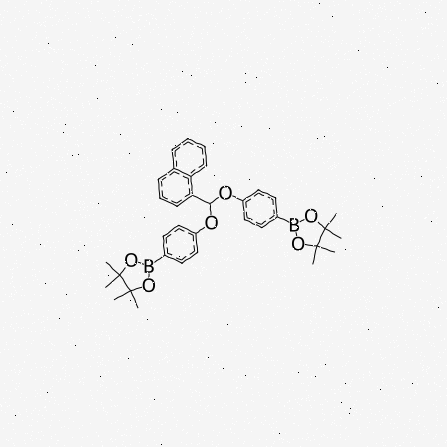 CC1(C)OB(c2ccc(OC(Oc3ccc(B4OC(C)(C)C(C)(C)O4)cc3)c3cccc4ccccc34)cc2)OC1(C)C